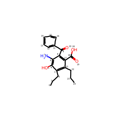 CCCc1c(O)c(N)c(C(=O)c2ccccc2)c(C(=O)O)c1CCC